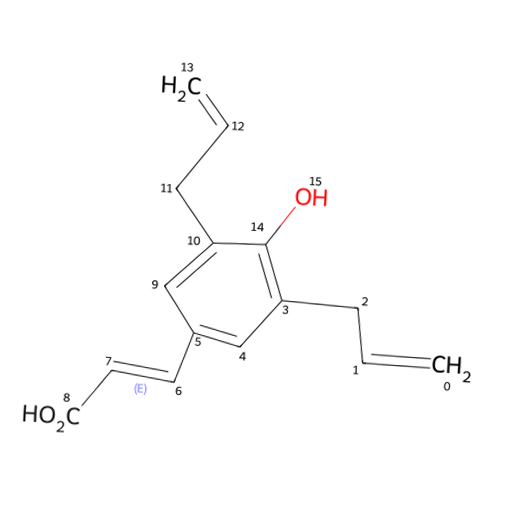 C=CCc1cc(/C=C/C(=O)O)cc(CC=C)c1O